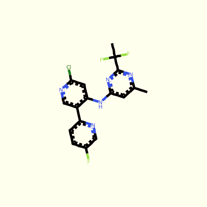 Cc1cc(Nc2cc(Cl)ncc2-c2ccc(F)cn2)nc(C(C)(F)F)n1